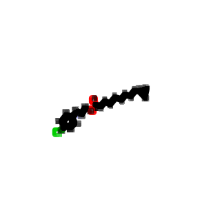 O=C(CCCCCCCCC1CC1)OC/C=C/c1ccc(Cl)cc1